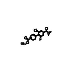 CN(C)C(=O)c1cc(F)c(C2=CCN(C(=O)OC(C)(C)C)CC2)c(Cl)c1